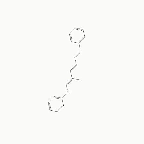 C/C(C=CC=Nc1ccccc1)=C\Nc1ccccc1